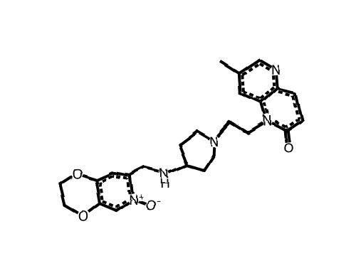 Cc1cnc2ccc(=O)n(CCN3CCC(NCc4cc5c(c[n+]4[O-])OCCO5)CC3)c2c1